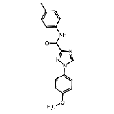 Cc1ccc(NC(=O)c2ncn(-c3ccc(OC(F)(F)F)cc3)n2)cc1